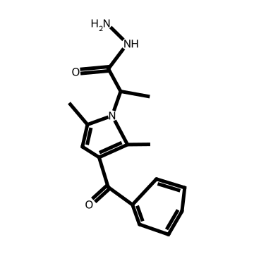 Cc1cc(C(=O)c2ccccc2)c(C)n1C(C)C(=O)NN